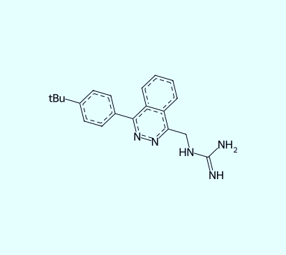 CC(C)(C)c1ccc(-c2nnc(CNC(=N)N)c3ccccc23)cc1